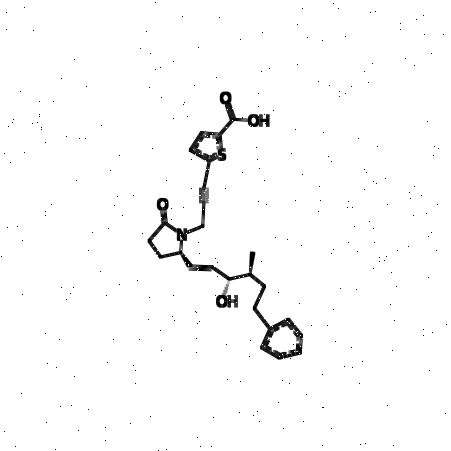 C[C@@H](CCc1ccccc1)[C@H](O)/C=C/[C@H]1CCC(=O)N1CC#Cc1ccc(C(=O)O)s1